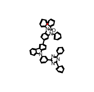 O=P1(c2ccccc2)N(c2ccccc2)c2ccc(-c3ccc4c(c3)c3ccccc3n4-c3cccc(-c4nc(-c5ccccc5)nc(-c5ccccc5)n4)c3)cc2N1c1ccccc1